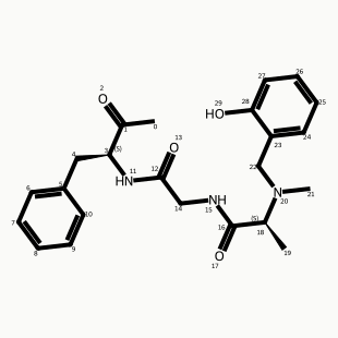 CC(=O)[C@H](Cc1ccccc1)NC(=O)CNC(=O)[C@H](C)N(C)Cc1ccccc1O